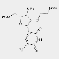 COCCOC1C(OC)[C@@H](COC)O[C@H]1c1cn(C)c(=O)[nH]c1=O